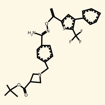 C=C(O/N=C(\N)c1ccc(CN2CC(C(=O)OC(C)(C)C)C2)cc1)c1cc(-c2ccccc2)c(C(F)(F)F)s1